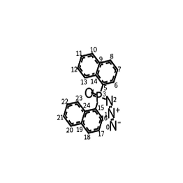 [N-]=[N+]=NP(=O)(c1cccc2ccccc12)c1cccc2ccccc12